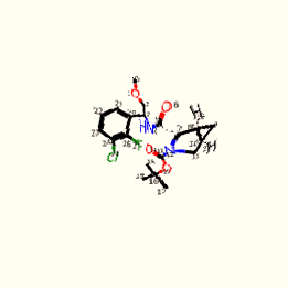 COC[C@@H](NC(=O)[C@@H]1[C@H]2C[C@H]2CN1C(=O)OC(C)(C)C)c1cccc(Cl)c1F